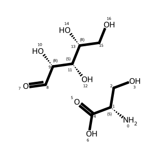 N[C@@H](CO)C(=O)O.O=C[C@H](O)[C@@H](O)[C@H](O)CO